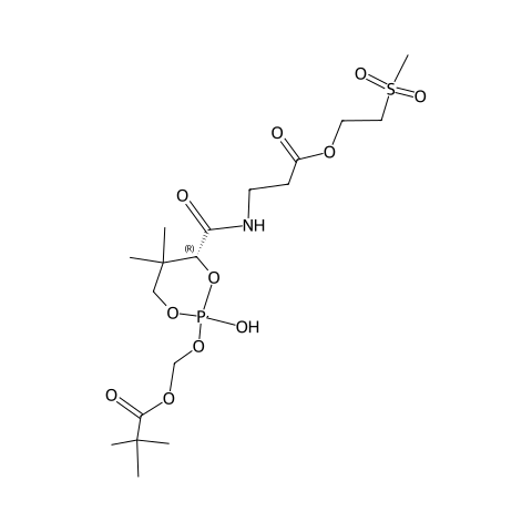 CC(C)(C)C(=O)OCO[P]1(O)OCC(C)(C)[C@H](C(=O)NCCC(=O)OCCS(C)(=O)=O)O1